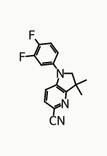 CC1(C)CN(c2ccc(F)c(F)c2)c2ccc(C#N)nc21